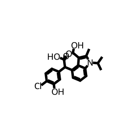 Cc1c(C(=O)O)c2c(C(C(=O)O)c3ccc(Cl)c(O)c3)cccc2n1C(C)C